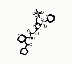 CS(=O)(=O)NCc1nc(NC(=O)Nc2cnccc2C(=O)C2CCCC2)sc1S(=O)(=O)c1ccccn1